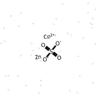 O=S(=O)([O-])[O-].[Co+2].[Zn]